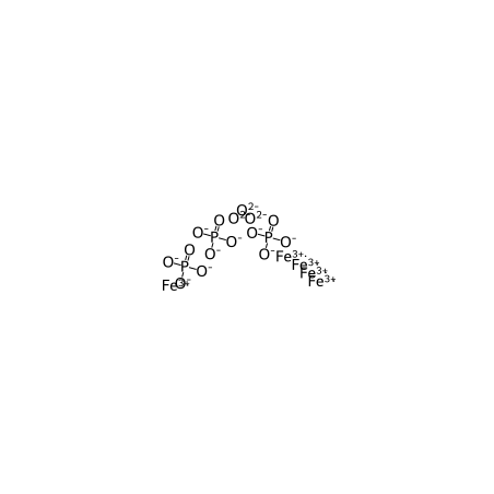 O=P([O-])([O-])[O-].O=P([O-])([O-])[O-].O=P([O-])([O-])[O-].[Fe+3].[Fe+3].[Fe+3].[Fe+3].[Fe+3].[O-2].[O-2].[O-2]